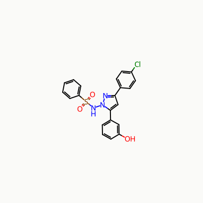 O=S(=O)(Nn1nc(-c2ccc(Cl)cc2)cc1-c1cccc(O)c1)c1ccccc1